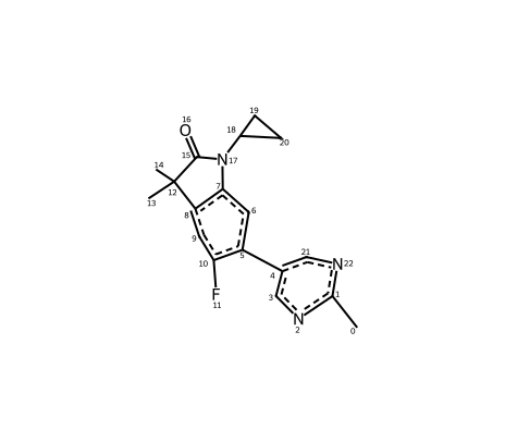 Cc1ncc(-c2cc3c(cc2F)C(C)(C)C(=O)N3C2CC2)cn1